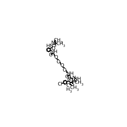 Cc1nc(NC(=O)c2ccccc2NC(=O)CCOCCOCCOCCOCCNC(=O)C[C@@H]2N=C(c3ccc(Cl)cc3)c3c(sc(C)c3C)N3C2=NNC3C)sc1C